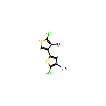 Cc1cc(-c2[c]sc(Cl)c2C)sc1Cl